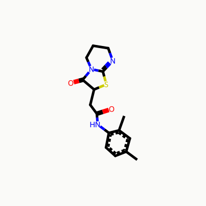 Cc1ccc(NC(=O)CC2SC3=NCCCN3C2=O)c(C)c1